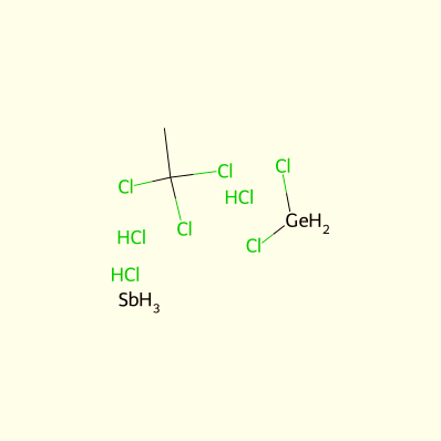 CC(Cl)(Cl)Cl.Cl.Cl.Cl.[Cl][GeH2][Cl].[SbH3]